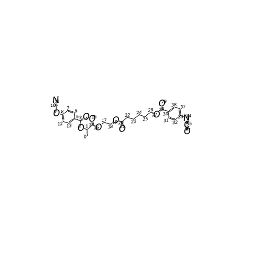 CC(OC(=O)c1ccc(OC#N)cc1)C(=O)OCCOC(=O)CCCCCOC(=O)c1ccc(N=C=O)cc1